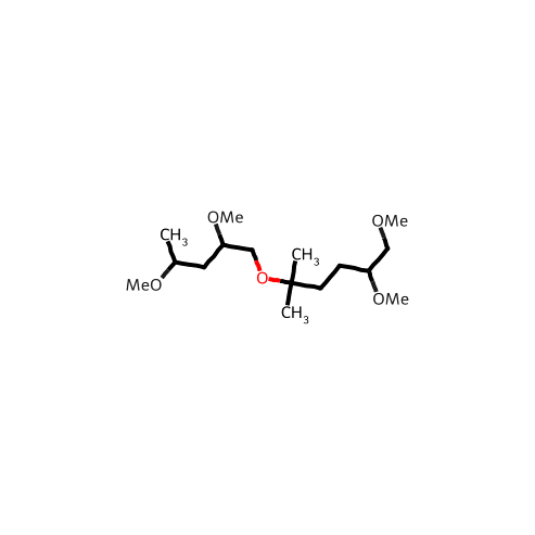 COCC(CCC(C)(C)OCC(CC(C)OC)OC)OC